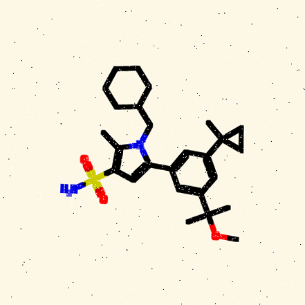 COC(C)(C)c1cc(-c2cc(S(N)(=O)=O)c(C)n2CC2CCCCC2)cc(C2(C)CC2)c1